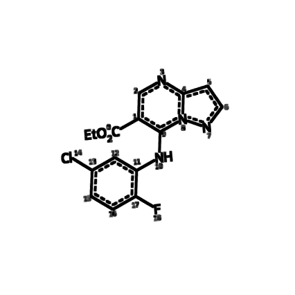 CCOC(=O)c1cnc2ccnn2c1Nc1cc(Cl)ccc1F